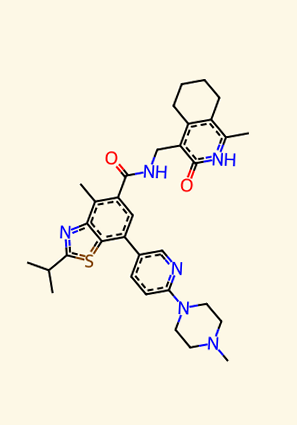 Cc1[nH]c(=O)c(CNC(=O)c2cc(-c3ccc(N4CCN(C)CC4)nc3)c3sc(C(C)C)nc3c2C)c2c1CCCC2